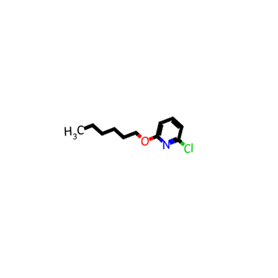 CCCCCCOc1cccc(Cl)n1